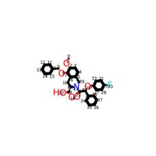 COc1ccc2c(c1OCc1ccccc1)C[C@H](C(=O)O)N(C(=O)[C@@H](Oc1ccc(F)cc1)c1ccccc1)C2